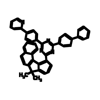 CC1(C)c2cccc(-c3nc(-c4ccc(-c5ccccc5)cc4)nc(-c4ccc(-c5ccccn5)cc4)n3)c2-c2c1ccc1ccccc21